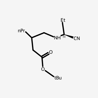 CCCC(CN[C@H](C#N)CC)CC(=O)OC(C)(C)C